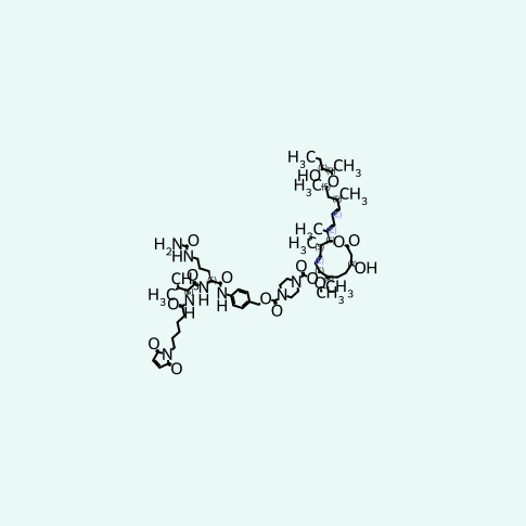 CC[C@H](O)[C@@H](C)O[C@@H](C)C[C@H](C)/C=C/C=C(\C)[C@H]1OC(=O)C[C@H](O)CC[C@@](C)(OC)[C@@H](OC(=O)N2CCN(C(=O)OCc3ccc(NC(=O)[C@H](CCCNC(N)=O)NC(=O)[C@@H](NC(=O)CCCCCN4C(=O)C=CC4=O)C(C)C)cc3)CC2)/C=C/[C@@H]1C